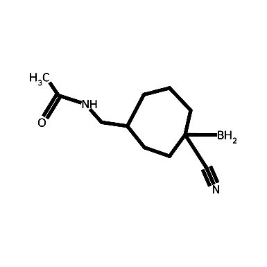 BC1(C#N)CCCC(CNC(C)=O)CC1